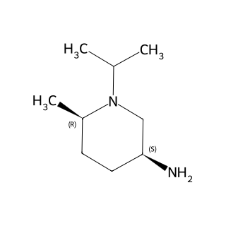 CC(C)N1C[C@@H](N)CC[C@H]1C